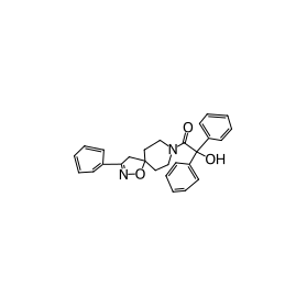 O=C(N1CCC2(CC1)CC(c1ccccc1)=NO2)C(O)(c1ccccc1)c1ccccc1